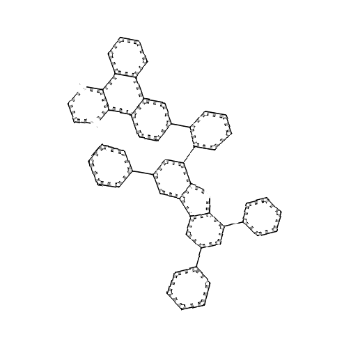 c1ccc(-c2cc(-c3ccccc3)c3oc4c(-c5ccccc5-c5ccc6c(c5)c5ccccc5c5nccnc65)cc(-c5ccccc5)cc4c3c2)cc1